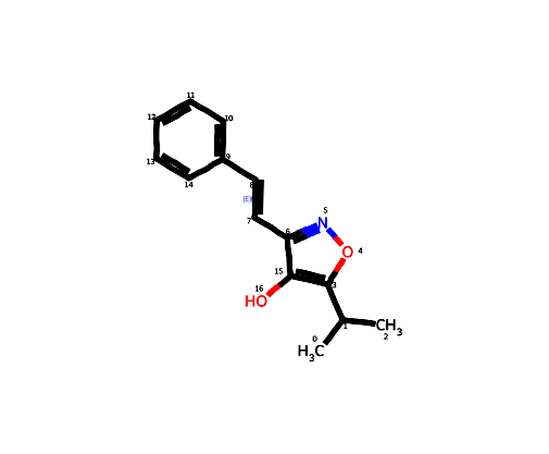 CC(C)c1onc(/C=C/c2ccccc2)c1O